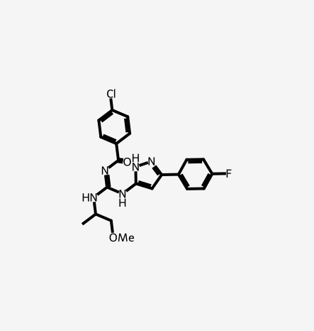 COCC(C)N/C(=N/C(=O)c1ccc(Cl)cc1)Nc1cc(-c2ccc(F)cc2)n[nH]1